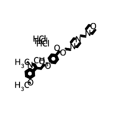 COc1ccc2c(c1)c(CC(=O)Oc1ccc(C(=O)OCCN3CCN(CCN4CCOCC4)CC3)cc1)c(C)n2C.Cl.Cl.Cl